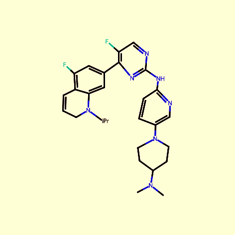 CC(C)N1CC=Cc2c(F)cc(-c3nc(Nc4ccc(N5CCC(N(C)C)CC5)cn4)ncc3F)cc21